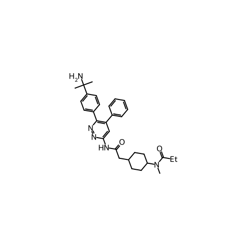 CCC(=O)N(C)C1CCC(CC(=O)Nc2cc(-c3ccccc3)c(-c3ccc(C(C)(C)N)cc3)nn2)CC1